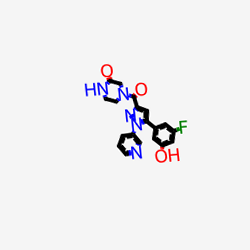 O=C1CN(C(=O)c2cc(-c3cc(O)cc(F)c3)n(-c3cccnc3)n2)CCN1